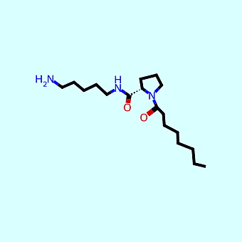 CCCCCCCC(=O)N1CCC[C@H]1C(=O)NCCCCCN